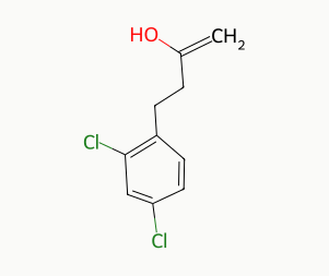 C=C(O)CCc1ccc(Cl)cc1Cl